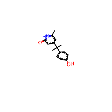 Cc1cc(C(C)(C)c2ccc(O)cc2)cc(=O)[nH]1